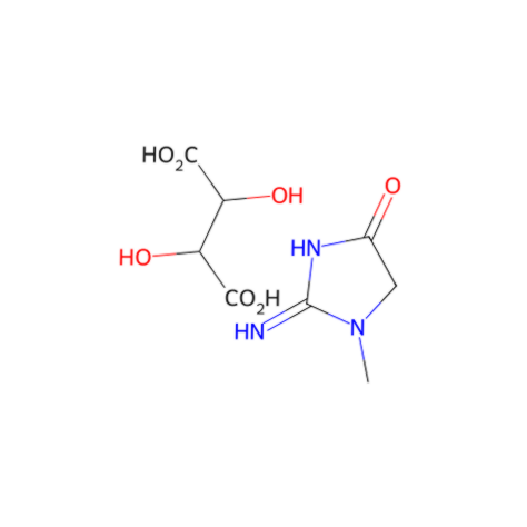 CN1CC(=O)NC1=N.O=C(O)C(O)C(O)C(=O)O